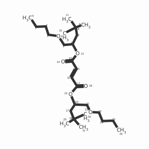 CCCCOCC(CC(C)(C)C)OC(=O)/C=C/C(=O)OC(COCCCC)CC(C)(C)C